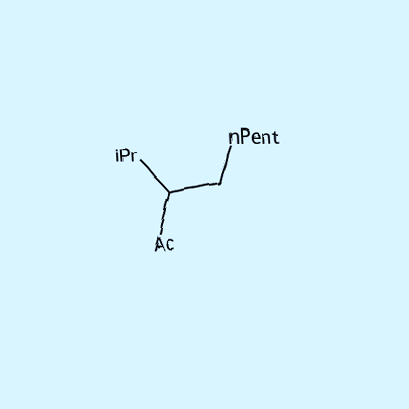 CCCCCCC(C(C)=O)C(C)C